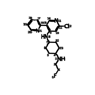 FCCNC1CCC(Nc2cc(Cl)ncc2-c2ccccn2)CC1